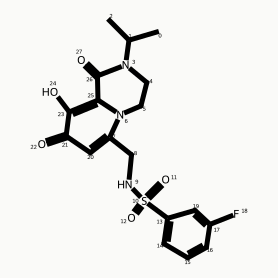 CC(C)N1CCn2c(CNS(=O)(=O)c3cccc(F)c3)cc(=O)c(O)c2C1=O